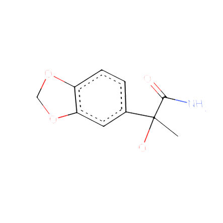 CC([O])(C(N)=O)c1ccc2c(c1)OCO2